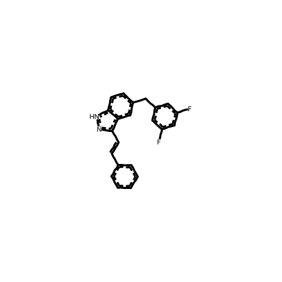 Fc1cc(F)cc(Cc2ccc3[nH]nc(/C=C/c4ccccc4)c3c2)c1